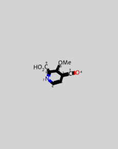 COC1C(=C=O)C=CN=C1C(=O)O